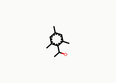 Cc1cc(C)c(C(C)[O])c(C)c1